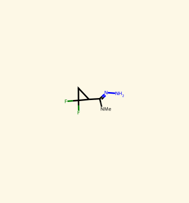 CN/C(=N\N)C1CC1(F)F